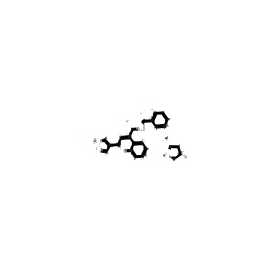 Cc1ccc(OC[C@@H]2C[C@@H](F)CN2C)cc1C(=O)N[C@H](C)c1cc(-c2cnn(C)c2)nc2ccccc12